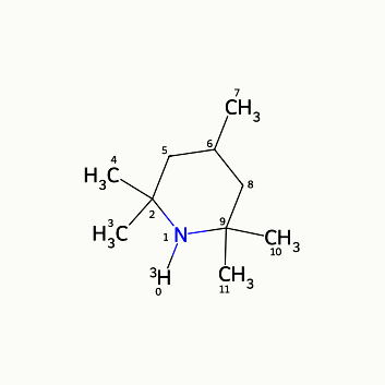 [3H]N1C(C)(C)CC(C)CC1(C)C